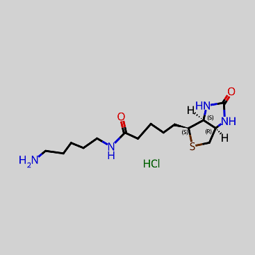 Cl.NCCCCCNC(=O)CCCC[C@@H]1SC[C@@H]2NC(=O)N[C@@H]21